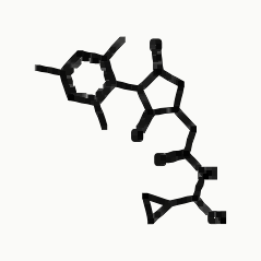 Cc1cc(C)c(C2C(=O)CC(CC(=O)NC(C#N)C3CC3)C2=O)c(C)c1